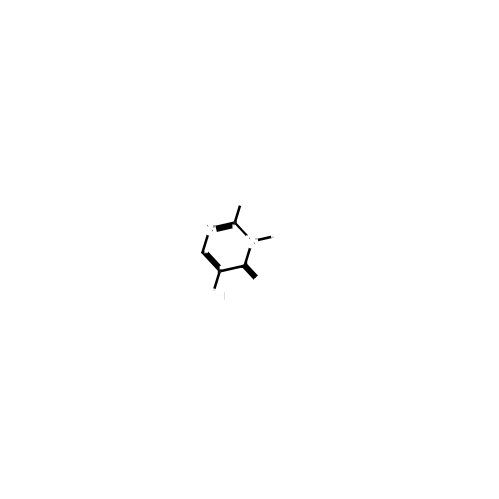 Cc1cnc(Cl)n(C)c1=O